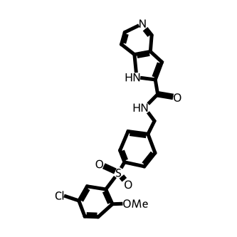 COc1ccc(Cl)cc1S(=O)(=O)c1ccc(CNC(=O)c2cc3cnccc3[nH]2)cc1